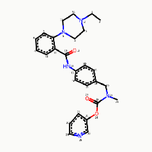 CCN1CCN(c2ccccc2C(=O)Nc2ccc(CN(C)C(=O)Oc3cccnc3)cc2)CC1